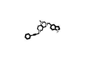 CN1CN(Cc2ccc3sccc3c2)CC2=C1CCN(CC#Cc1ccccc1)C2